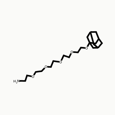 NCCOCCOCCOCCOCCOC12CC3CC(CC(C3)C1)C2